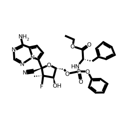 CCOC(=O)[C@H](Cc1ccccc1)NP(=O)(OC[C@H]1O[C@@](C#N)(c2ccc3c(N)ncnn23)[C@](C)(F)[C@@H]1O)Oc1ccccc1